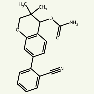 CC1(C)COc2cc(-c3ccccc3C#N)ccc2C1OC(N)=O